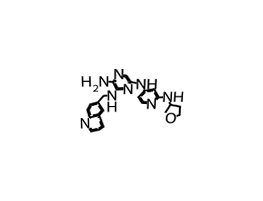 Nc1ncc(Nc2ccnc(NC3CCOC3)c2)nc1NCc1ccc2ncccc2c1